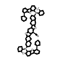 Cc1ccccc1N(c1ccc2cc3c(cc2c1)oc1c(C#N)c2c(cc13)oc1cc3cc(N(c4ccccc4C)c4cccc5c4oc4c(-c6ccccc6)cccc45)ccc3cc12)c1cccc2c1oc1c(-c3ccccc3)cccc12